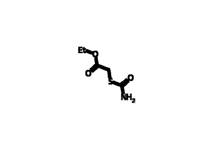 CCOC(=O)CSC(N)=O